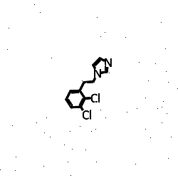 Clc1cccc(CCn2ccnc2)c1Cl